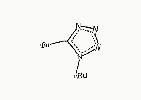 [CH2]CCCn1nnnc1C(C)CC